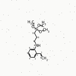 C=Cc1ccccc1NCCC[Si](OC)(OC)OC